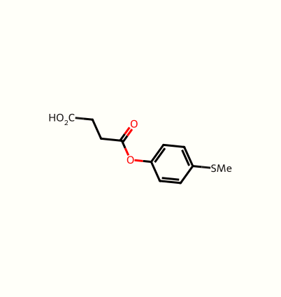 CSc1ccc(OC(=O)CCC(=O)O)cc1